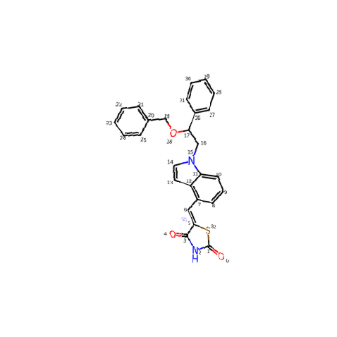 O=C1NC(=O)/C(=C/c2cccc3c2ccn3CC(OCc2ccccc2)c2ccccc2)S1